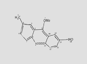 COc1c2cc(C)ccc2cc2ccc(N=O)cc12